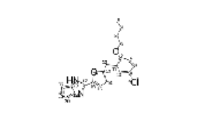 CCCCOc1ccc(Cl)cc1Cc1ccc(-c2nc3cscc3[nH]2)o1